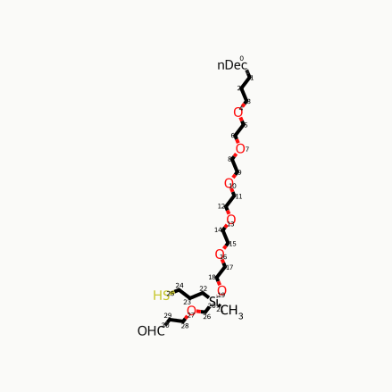 CCCCCCCCCCCCCOCCOCCOCCOCCOCCO[Si](C)(CCCS)COCCC=O